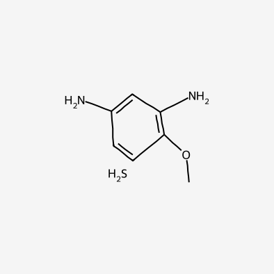 COc1ccc(N)cc1N.S